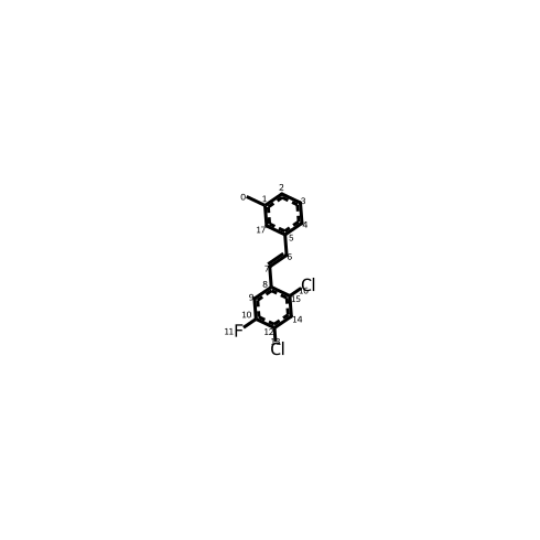 Cc1cccc(C=Cc2cc(F)c(Cl)cc2Cl)c1